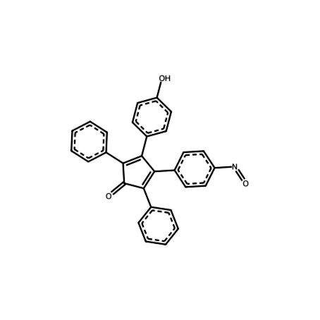 O=Nc1ccc(C2=C(c3ccccc3)C(=O)C(c3ccccc3)=C2c2ccc(O)cc2)cc1